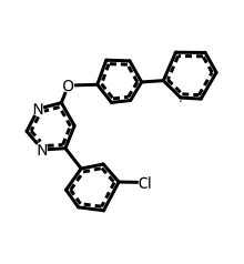 Clc1cccc(-c2cc(Oc3ccc(-c4[c]cccc4)cc3)ncn2)c1